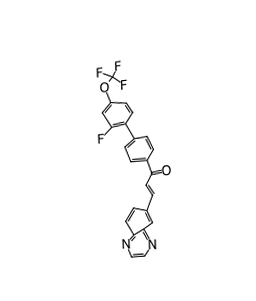 O=C(/C=C/c1ccc2nccnc2c1)c1ccc(-c2ccc(OC(F)(F)F)cc2F)cc1